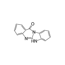 O=c1c2ccccc2nc2[nH]c3ccccc3n12